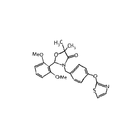 COc1cccc(OC)c1C1OC(C)(C)C(=O)N1Cc1ccc(Oc2nccs2)cc1